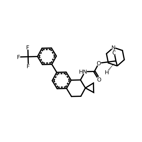 O=C(NC1c2cc(-c3cccc(C(F)(F)F)c3)ccc2CCC12CC2)O[C@H]1CN2CCC1CC2